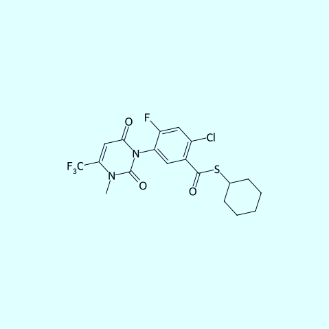 Cn1c(C(F)(F)F)cc(=O)n(-c2cc(C(=O)SC3CCCCC3)c(Cl)cc2F)c1=O